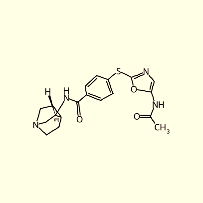 CC(=O)Nc1cnc(Sc2ccc(C(=O)N[C@H]3CN4CCC3CC4)cc2)o1